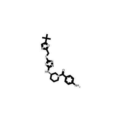 CC(C)(C)c1cnc(CSc2nnc(N[C@@H]3CCCN(C(=O)c4ccc(N)cc4)C3)s2)o1